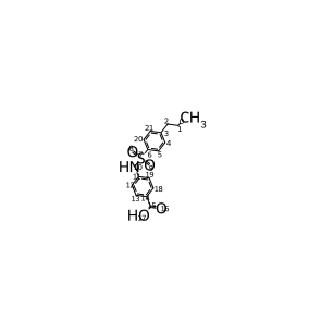 CCCc1ccc(S(=O)(=O)Nc2ccc(C(=O)O)cc2)cc1